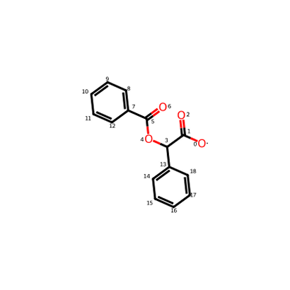 [O]C(=O)C(OC(=O)c1ccccc1)c1ccccc1